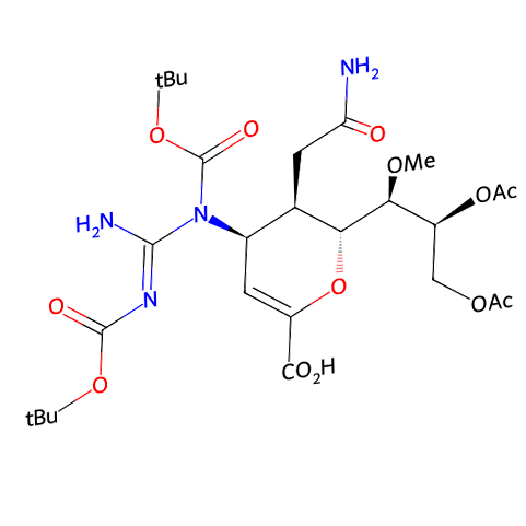 CO[C@H]([C@@H]1OC(C(=O)O)=C[C@@H](N(C(=O)OC(C)(C)C)C(N)=NC(=O)OC(C)(C)C)[C@H]1CC(N)=O)[C@H](COC(C)=O)OC(C)=O